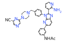 CC(=O)Nc1cccc(-c2ccc3nc(-c4cccnc4N)n(-c4ccc(CN5CCN(c6cncc(C#N)n6)CC5)cc4)c3n2)c1